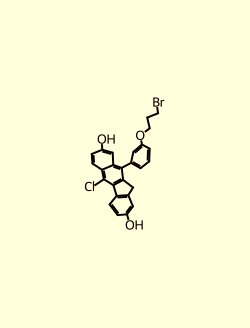 Oc1ccc2c(c1)Cc1c-2c(Cl)c2ccc(O)cc2c1-c1cccc(OCCCBr)c1